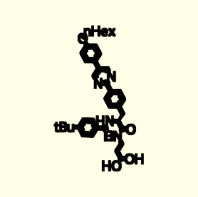 CCCCCCOc1ccc(-c2cnc(-c3ccc(C[C@H](NC(=O)c4ccc(C(C)(C)C)cc4)C(=O)NCCC(O)O)cc3)nc2)cc1